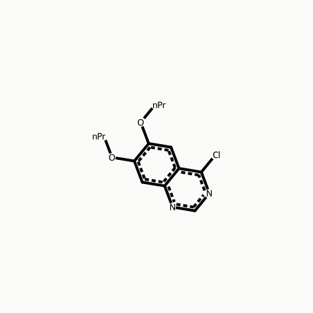 CCCOc1cc2ncnc(Cl)c2cc1OCCC